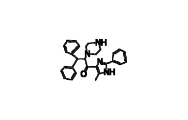 Cc1[nH]c(-c2ccccc2)nc1C(=O)C(C(c1ccccc1)c1ccccc1)N1CCNCC1